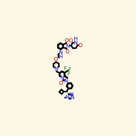 Cn1cnnc1[C@@H](c1cccc(-n2cc3c(C(F)(F)F)cc(CN4CCC(OCCNc5cccc6c5C(=O)N(C5CCC(=O)NC5=O)C6=O)CC4)cn3c2=O)c1)C1CCC1